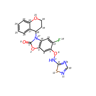 O=c1oc2cc(ONc3ncns3)c(F)cc2n1C1CCOc2ccccc21